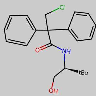 CC(C)(C)[C@@H](CO)NC(=O)C(CCl)(c1ccccc1)c1ccccc1